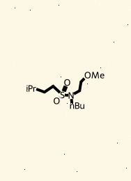 CCCCN(CCOC)S(=O)(=O)CCC(C)C